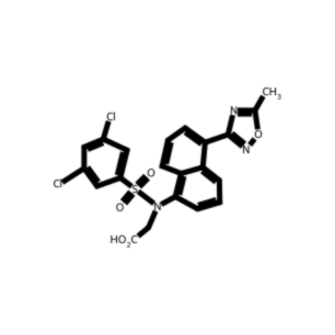 Cc1nc(-c2cccc3c(N(CC(=O)O)S(=O)(=O)c4cc(Cl)cc(Cl)c4)cccc23)no1